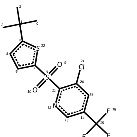 CC(C)(C)c1ccc(S(=O)(=O)c2ncc(C(F)(F)F)cc2Cl)s1